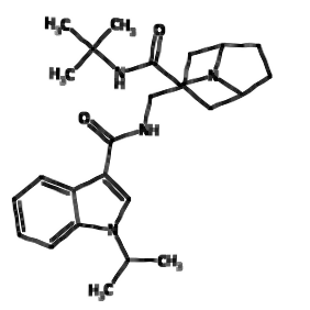 CC(C)n1cc(C(=O)NCC2CC3CCC(C2)N3CC(=O)NC(C)(C)C)c2ccccc21